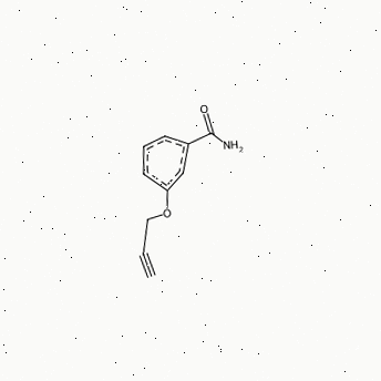 C#CCOc1cccc(C(N)=O)c1